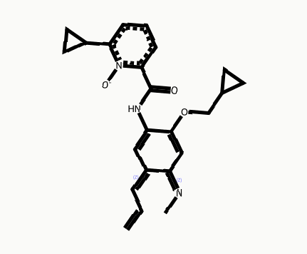 C=C/C=C1/C=C(NC(=O)c2cccc(C3CC3)[n+]2[O-])C(OCC2CC2)=C/C1=N/C